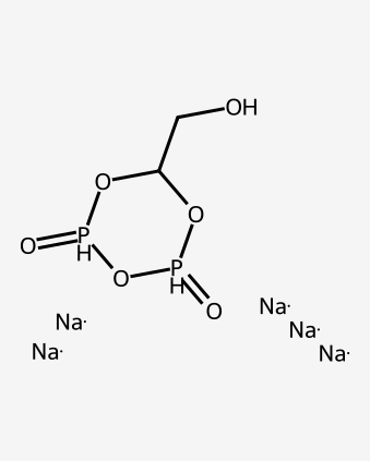 O=[PH]1OC(CO)O[PH](=O)O1.[Na].[Na].[Na].[Na].[Na]